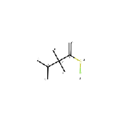 C=C(SF)C(C)(C)C(C)C